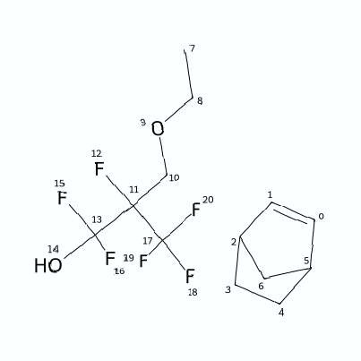 C1=CC2CCC1C2.CCOCC(F)(C(O)(F)F)C(F)(F)F